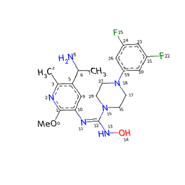 COc1nc(C)c(C(C)N)cc1N=C(NO)N1CCN(c2cc(F)cc(F)c2)CC1